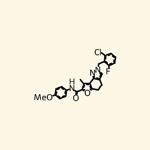 COc1ccc(NC(=O)c2oc3c(c2C)-c2nn(Cc4c(F)cccc4Cl)cc2CC3)cc1